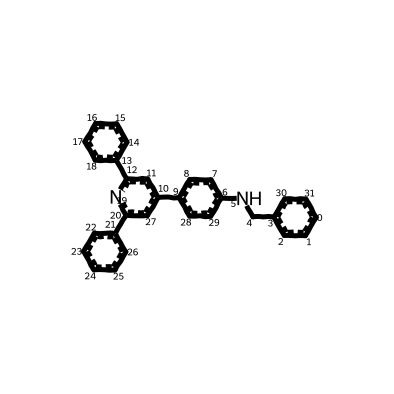 c1ccc(CNc2ccc(-c3cc(-c4ccccc4)nc(-c4ccccc4)c3)cc2)cc1